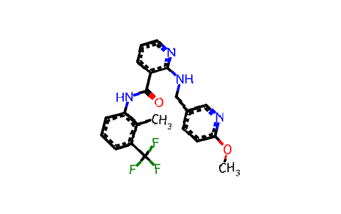 COc1ccc(CNc2ncccc2C(=O)Nc2cccc(C(F)(F)F)c2C)cn1